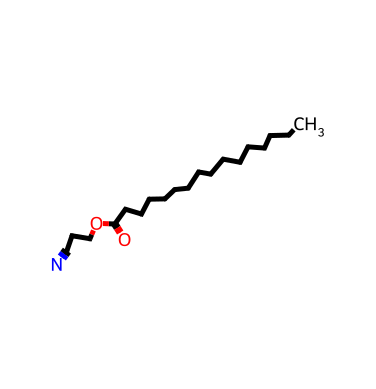 CCCCCCCCCCCCCCCC(=O)OCCC#N